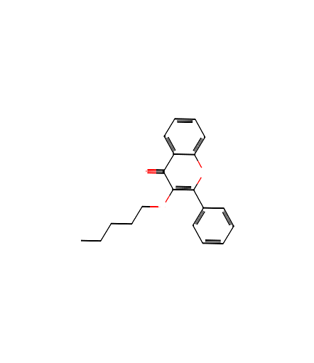 CCCCCOc1c(-c2ccccc2)oc2ccccc2c1=O